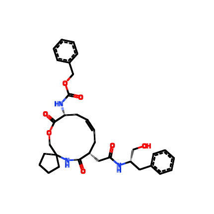 O=C(C[C@H]1C/C=C\C[C@@H](NC(=O)OCc2ccccc2)C(=O)OCC2(CCCC2)NC1=O)N[C@H](CO)Cc1ccccc1